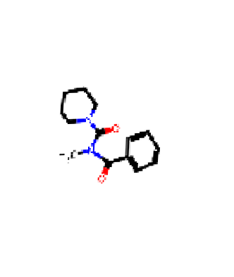 CN(C(=O)c1ccccc1)C(=O)N1CCCCC1